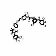 CC1(C)C(=O)N(c2cnc(C#N)c(C(F)(F)F)c2)C(=S)N1[C@H]1CC[C@H](OCCN2CCN(CC(=O)Nc3cc(Cl)cc(NC4CCC(=O)NC4=O)c3)[C@@H](C(F)(F)F)C2)CC1